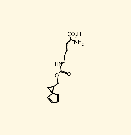 NC(CCCCNC(=O)OCC1CC12C=CC=C2)C(=O)O